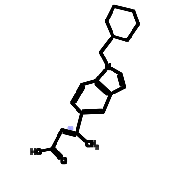 C/C(=C\C(=O)O)c1ccc2c(ccn2CC2CCCCC2)c1